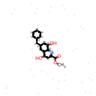 COC(=O)c1cc(O)c2cc(Cc3ccccc3)cc(O)c2n1